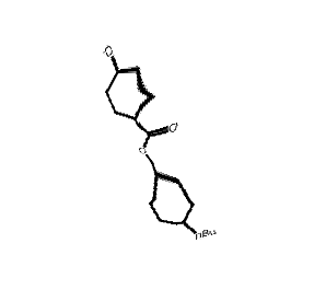 CCCCC1CCC(OC(=O)C2CCC([O])CC2)CC1